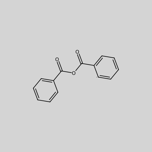 O=C(OC(=O)c1ccccc1)c1[c]cccc1